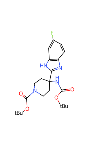 CC(C)(C)OC(=O)NC1(c2nc3ccc(F)cc3[nH]2)CCN(C(=O)OC(C)(C)C)CC1